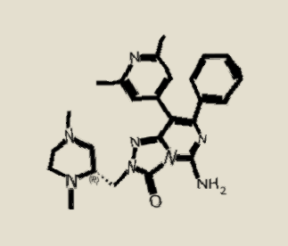 Cc1cc(-c2c(-c3ccccc3)nc(N)n3c(=O)n(C[C@H]4CN(C)CCN4C)nc23)cc(C)n1